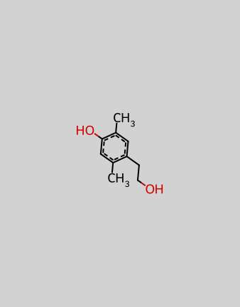 Cc1cc(CCO)c(C)cc1O